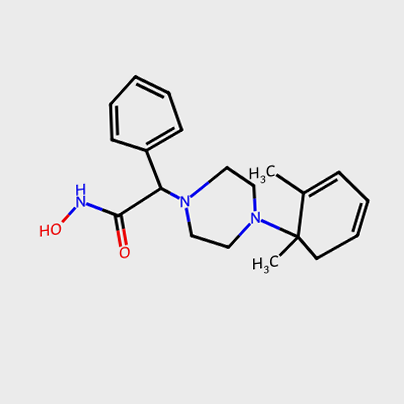 CC1=CC=CCC1(C)N1CCN(C(C(=O)NO)c2ccccc2)CC1